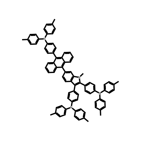 Cc1ccc(N(c2ccc(C)cc2)c2ccc(-c3c4ccccc4c(-c4ccc5c(-c6ccc(N(c7ccc(C)cc7)c7ccc(C)cc7)cc6)c(-c6ccc(N(c7ccc(C)cc7)c7ccc(C)cc7)cc6)n(C)c5c4)c4ccccc34)cc2)cc1